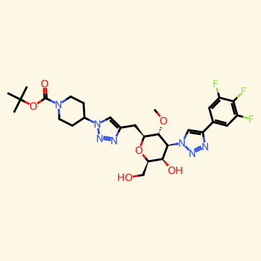 CO[C@@H]1[C@@H](n2cc(-c3cc(F)c(F)c(F)c3)nn2)[C@@H](O)[C@@H](CO)O[C@H]1Cc1cn(C2CCN(C(=O)OC(C)(C)C)CC2)nn1